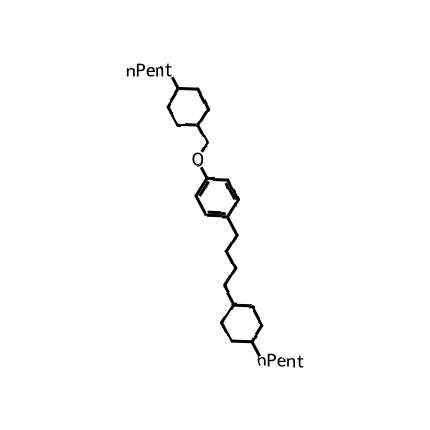 CCCCCC1CCC(CCCCc2ccc(OCC3CCC(CCCCC)CC3)cc2)CC1